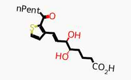 CCCCCC(=O)c1sccc1/C=C/[C@@H](O)[C@@H](O)CCCC(=O)O